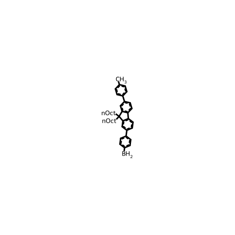 Bc1ccc(-c2ccc3c(c2)C(CCCCCCCC)(CCCCCCCC)c2cc(-c4ccc(C)cc4)ccc2-3)cc1